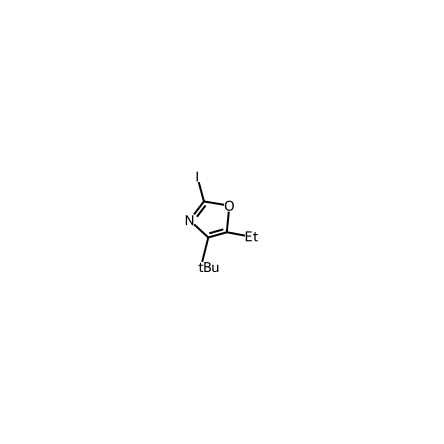 CCc1oc(I)nc1C(C)(C)C